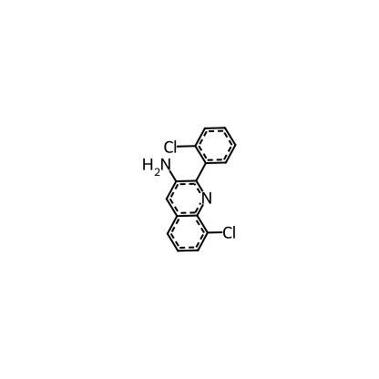 Nc1cc2cccc(Cl)c2nc1-c1ccccc1Cl